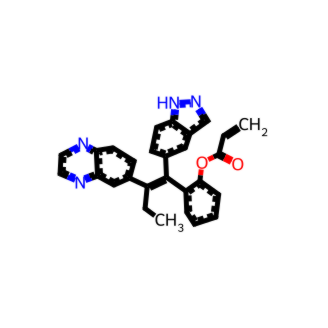 C=CC(=O)Oc1ccccc1/C(=C(\CC)c1ccc2nccnc2c1)c1ccc2[nH]ncc2c1